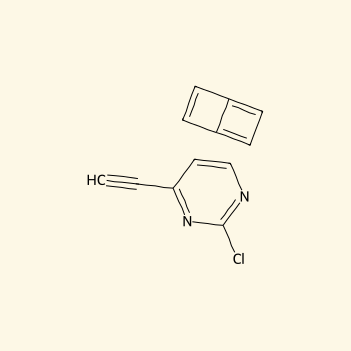 C#Cc1ccnc(Cl)n1.c1cc2ccc1-2